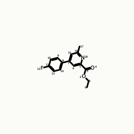 CCOC(=O)c1cc(-c2ccc(F)cc2)cc(C)n1